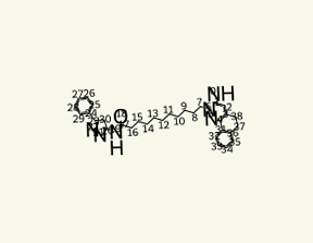 N=c1cc2c(nn1CCCCCCCCCCC(=O)NC1=NN=C(c3ccccc3)C1)-c1ccccc1CC2